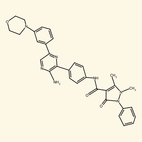 Cc1c(C(=O)Nc2ccc(-c3nc(-c4cccc(N5CCOCC5)c4)cnc3N)cc2)c(=O)n(-c2ccccc2)n1C